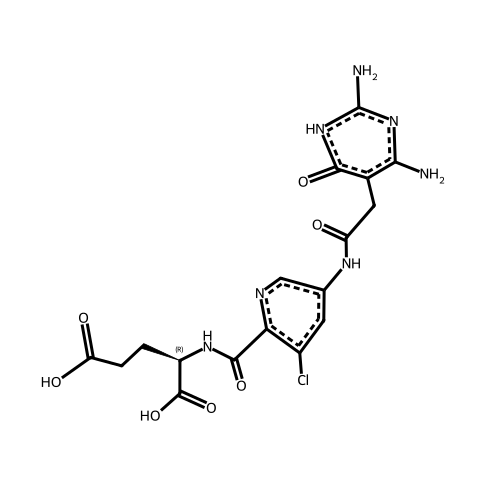 Nc1nc(N)c(CC(=O)Nc2cnc(C(=O)N[C@H](CCC(=O)O)C(=O)O)c(Cl)c2)c(=O)[nH]1